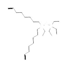 C=CCCCCCC[Si](CC)(CCCCCCC=C)O[Si](CC)(CC)CC